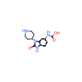 O=C(O)Nc1ccc2[nH]c(=O)n(C3CCNCC3)c2c1